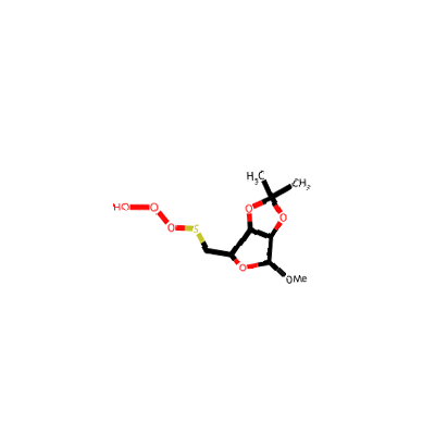 COC1OC(CSOOO)C2OC(C)(C)OC12